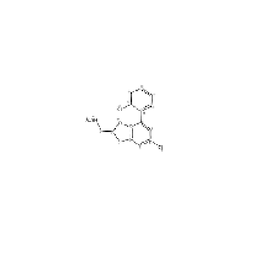 CC(=O)NCC1Cc2cc(Cl)cc(-c3ccccc3Cl)c2O1